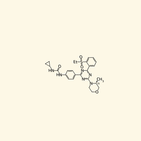 CCS(=O)(=O)c1ccccc1-c1nc(-c2ccc(NC(=O)NC3CC3)cc2)nc(N2CCOC[C@@H]2C)n1